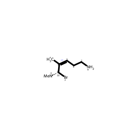 CN[C@@H](Br)/C(C)=C\CCN